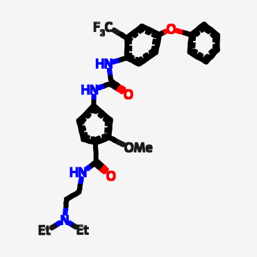 CCN(CC)CCNC(=O)c1ccc(NC(=O)Nc2ccc(Oc3ccccc3)cc2C(F)(F)F)cc1OC